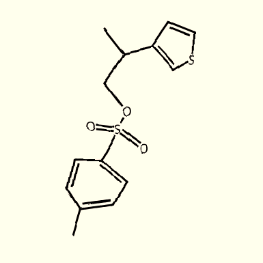 Cc1ccc(S(=O)(=O)OCC(C)c2ccsc2)cc1